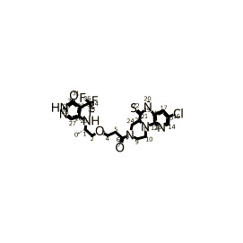 C[C@@H](COCCC(=O)N1CCN2c3ncc(Cl)cc3N(C)C(=S)C2C1)Nc1cn[nH]c(=O)c1C(F)(F)F